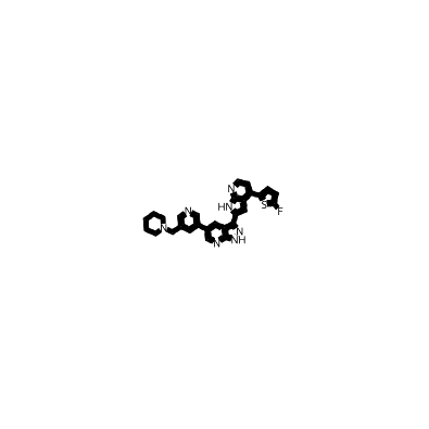 Fc1ccc(-c2ccnc3[nH]c(-c4n[nH]c5ncc(-c6cncc(CN7CCCCC7)c6)cc45)cc23)s1